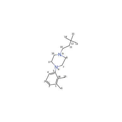 Cc1cccc(N2CCN(CCC(C)(C)C)CC2)c1C